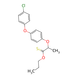 CCCOC(=S)C(C)Oc1ccc(Oc2ccc(Cl)cc2)cc1